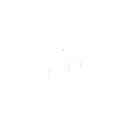 CC(=O)Oc1ccccc1COC(=O)Cl